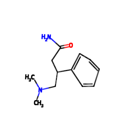 CN(C)CC(CC(N)=O)c1ccccc1